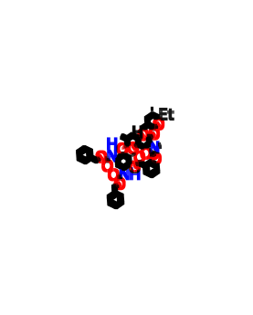 CCC1O[C@H](OC2O[C@H]3CC(C)[C@@H](O[C@@H]4C(NC(=O)OCc5ccccc5)C[C@@H](NC(=O)OCc5ccccc5)C(OC(=O)c5ccccc5)[C@H]4C)OC3C3OC(=O)N(C)C23)C(C)C[C@@H]1C